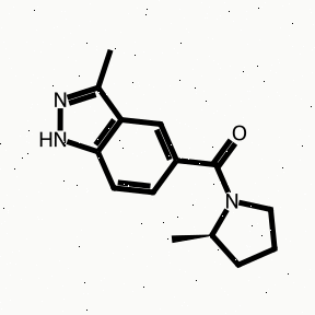 Cc1n[nH]c2ccc(C(=O)N3CCC[C@H]3C)cc12